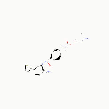 CN(C)CCOC(=O)NCc1ccc(C(=O)Nc2cc(-c3cccs3)ccc2N)cc1